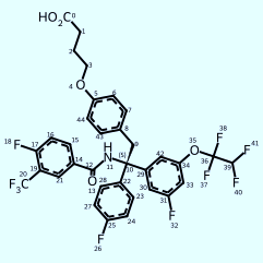 O=C(O)CCCOc1ccc(C[C@](NC(=O)c2ccc(F)c(C(F)(F)F)c2)(c2ccc(F)cc2)c2cc(F)cc(OC(F)(F)C(F)F)c2)cc1